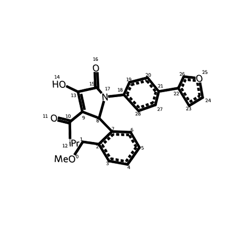 COCc1ccccc1C1C(C(=O)C(C)C)=C(O)C(=O)N1c1ccc(-c2ccoc2)cc1